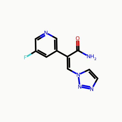 NC(=O)C(=Cn1ccnn1)c1cncc(F)c1